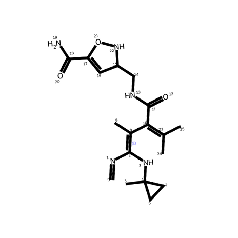 C=N/C(NC1(C)CC1)=C(\C)C(C(=O)NCC1C=C(C(N)=O)ON1)=C(C)C